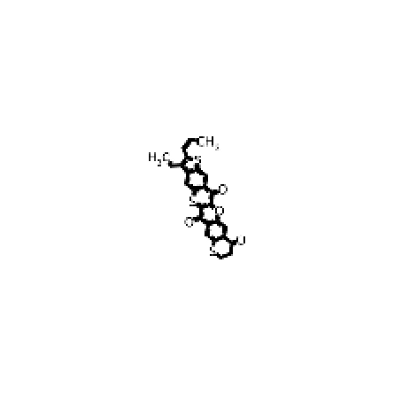 C=Cc1c(/C=C\C)sc2cc3c(=O)c4oc5cc6c(cc5c(=O)c4sc3cc12)SCCC6=O